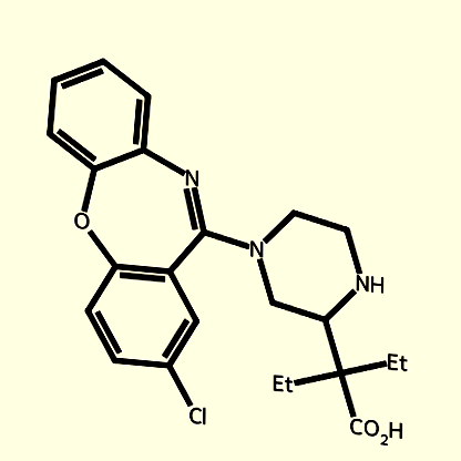 CCC(CC)(C(=O)O)C1CN(C2=Nc3ccccc3Oc3ccc(Cl)cc32)CCN1